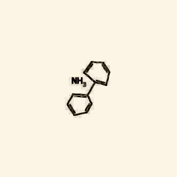 N.c1ccc(-c2ccccc2)cc1